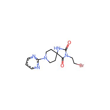 O=C1NC2(CCN(c3ncccn3)CC2)C(=O)N1CCBr